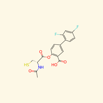 CC(=O)N[C@H](CS)C(=O)Oc1ccc(-c2ccc(F)cc2F)cc1C(=O)O